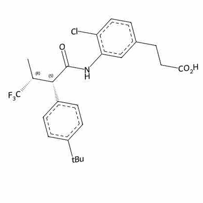 C[C@H]([C@H](C(=O)Nc1cc(CCC(=O)O)ccc1Cl)c1ccc(C(C)(C)C)cc1)C(F)(F)F